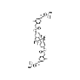 C=CC(=O)OCOc1ccc(CC(=O)Oc2ccc(C(c3ccc(OC(=O)Cc4ccc(OCOC(=O)C=C)cc4C)cc3)(C(F)(F)F)C(F)(F)F)cc2)c(C)c1